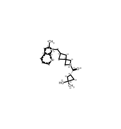 Cc1cc2cccnc2n1CC1CC2(C1)CN(C(=O)[C@H]1C[C@@](C)(O)C1)C2